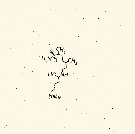 CNCCCCC(O)NCCC(C)CCC(C)S(N)(=O)=O